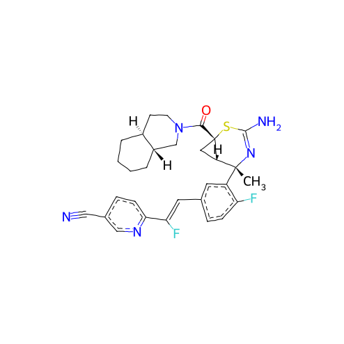 C[C@]1(c2cc(/C=C(\F)c3ccc(C#N)cn3)ccc2F)N=C(N)S[C@@]2(C(=O)N3CC[C@@H]4CCCC[C@H]4C3)C[C@H]21